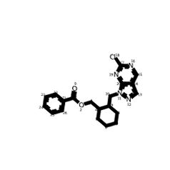 O=C(OCC1CCCCC1Cn1ncc2cnc(Cl)nc21)c1ccccc1